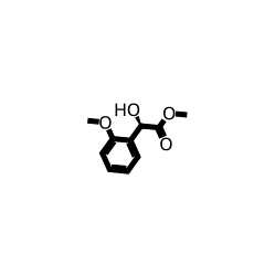 COC(=O)[C@H](O)c1ccccc1OC